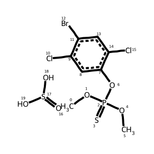 COP(=S)(OC)Oc1cc(Cl)c(Br)cc1Cl.O=S(O)O